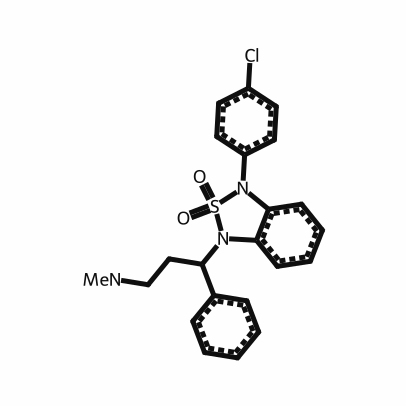 CNCCC(c1ccccc1)N1c2ccccc2N(c2ccc(Cl)cc2)S1(=O)=O